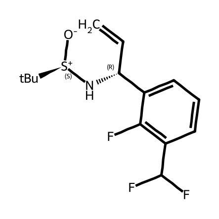 C=C[C@@H](N[S@+]([O-])C(C)(C)C)c1cccc(C(F)F)c1F